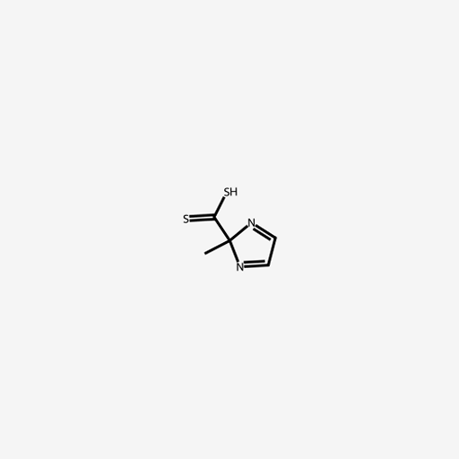 CC1(C(=S)S)N=CC=N1